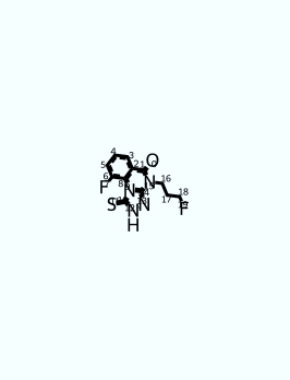 O=c1c2cccc(F)c2n2c(=S)[nH]nc2n1CCCF